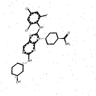 NC(=O)[C@H]1CC[C@H](n2c(Nc3c(F)cc(Cl)cc3Cl)nc3cnc(N[C@H]4CCC[C@H](O)C4)nc32)CC1